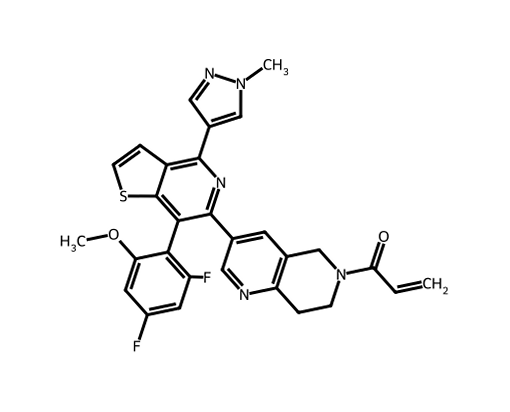 C=CC(=O)N1CCc2ncc(-c3nc(-c4cnn(C)c4)c4ccsc4c3-c3c(F)cc(F)cc3OC)cc2C1